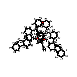 N#Cc1cc(-n2c3ccc4c5ccccc5oc4c3c3cccc(N(c4ccccc4)c4ccccc4)c32)c(C#N)cc1-n1c2ccc3c(c2c2cccc(N(c4ccccc4)c4ccccc4)c21)Cc1ccccc1-3